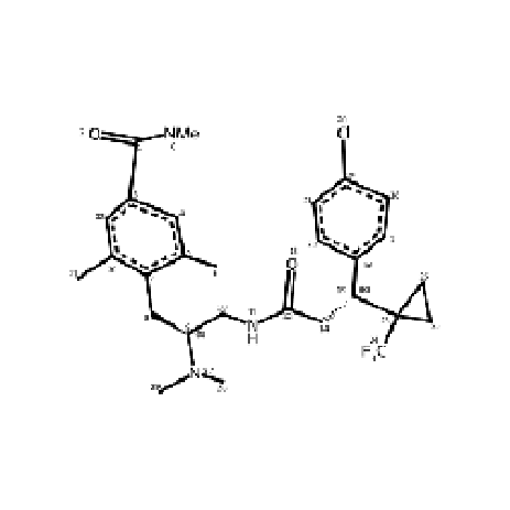 CNC(=O)c1cc(C)c(C[C@@H](CNC(=O)C[C@H](c2ccc(Cl)cc2)C2(C(F)(F)F)CC2)N(C)C)c(C)c1